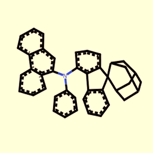 c1ccc(N(c2cccc3c2-c2ccccc2C32C3CC4CC(C3)CC2C4)c2cc3ccccc3c3ccccc23)cc1